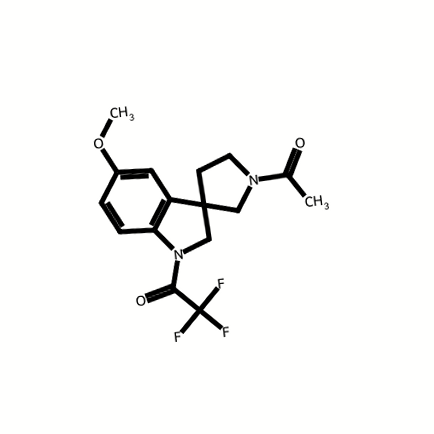 COc1ccc2c(c1)C1(CCN(C(C)=O)C1)CN2C(=O)C(F)(F)F